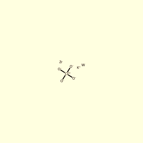 [K+].[O-][Cl+3]([O-])([O-])[O-].[W].[Zr]